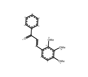 COc1ccc(C=CC(=O)c2ccccc2)c(OC)c1OC